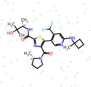 C[C@H](NC(=O)c1nc(C(=O)N2CCC[C@@H]2C)c(-c2cnc(NC3(C)CCC3)cc2C(F)F)s1)C(C)(C)O